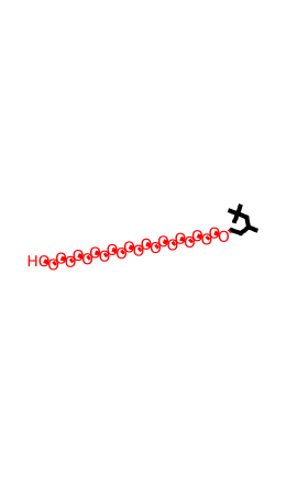 CC(CCOOOOOOOOOOOOOOOOOOOOOO)CC(C)(C)C